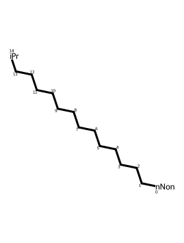 CCC[CH]CCCCCCCCCCCCCCCCCCC(C)C